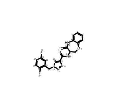 O=C(NC1COc2ccccc2NC1=O)c1nnn(Cc2cc(F)ccc2F)n1